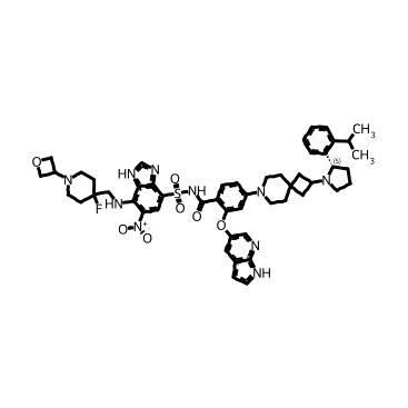 CC(C)c1ccccc1[C@@H]1CCCN1C1CC2(CCN(c3ccc(C(=O)NS(=O)(=O)c4cc([N+](=O)[O-])c(NCC5(F)CCN(C6COC6)CC5)c5[nH]cnc45)c(Oc4cnc5[nH]ccc5c4)c3)CC2)C1